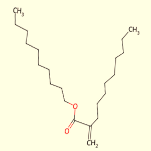 C=C(CCCCCCCCC)C(=O)OCCCCCCCCCC